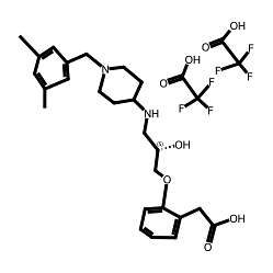 Cc1cc(C)cc(CN2CCC(NC[C@H](O)COc3ccccc3CC(=O)O)CC2)c1.O=C(O)C(F)(F)F.O=C(O)C(F)(F)F